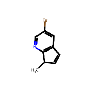 CC1C=Cc2cc(Br)cnc21